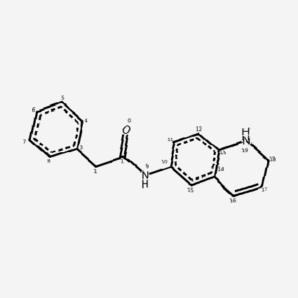 O=C(Cc1ccccc1)Nc1ccc2c(c1)C=CCN2